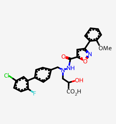 COc1ccccc1-c1cc(C(=O)NN(Cc2ccc(-c3cc(Cl)ccc3F)cc2)CC(O)C(=O)O)on1